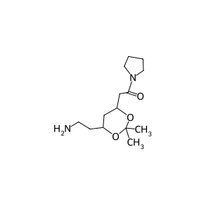 CC1(C)OC(CCN)CC(CC(=O)N2CCCC2)O1